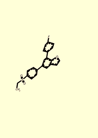 CCS(=O)(=O)c1ccc(-c2cc(-c3ccc(F)cc3)c3occc3c2)cc1